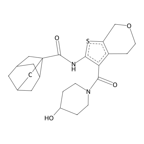 O=C(c1c(NC(=O)C23CC4CC(CC2C4)C3)sc2c1CCOC2)N1CCC(O)CC1